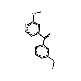 COc1cc(C(=O)c2ccnc(OC)c2)ccn1